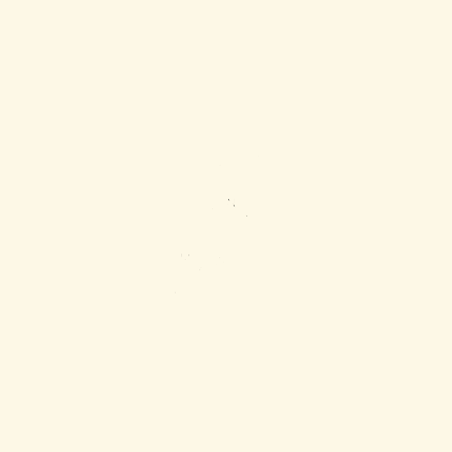 CSCC(=O)OC1CC(C)(C)N(C(=O)OC(C)(C)C)C(C)(C)C1